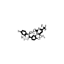 Cc1cc(F)ccc1N(C)C(=O)c1ccc(Cl)c(-n2c(C)cc(C(F)(F)F)nc2=O)c1